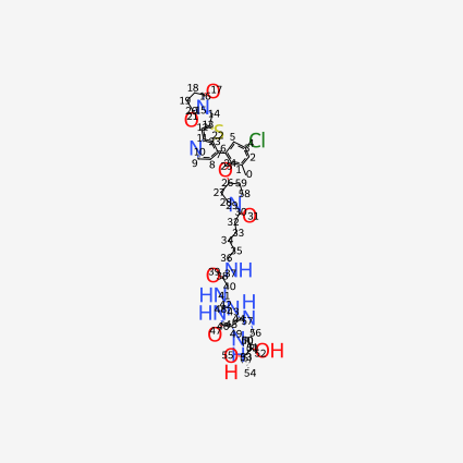 Cc1cc(Cl)cc(-c2ccnc3cc(CN4C(=O)CCC4=O)sc23)c1OC1CCN(C(=O)CCCCCNC(=O)CNc2nc3c(c(=O)[nH]2)N[C@@H]([C@@H](O)[C@H](C)O)CN3)CC1